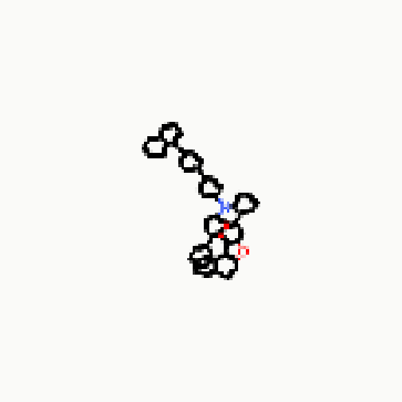 c1ccc(-c2ccc(N(c3ccc(-c4ccc(-c5cccc6ccccc56)cc4)cc3)c3ccccc3-c3ccc4c(c3)oc3ccc5ccccc5c34)cc2)cc1